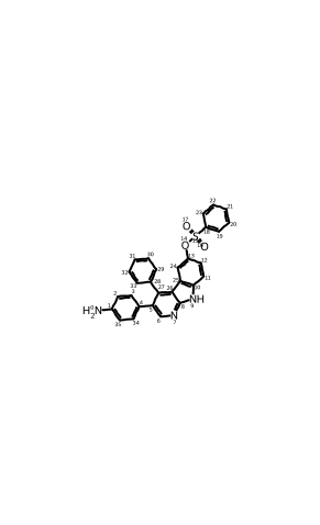 Nc1ccc(-c2cnc3[nH]c4ccc(OS(=O)(=O)c5ccccc5)cc4c3c2-c2ccccc2)cc1